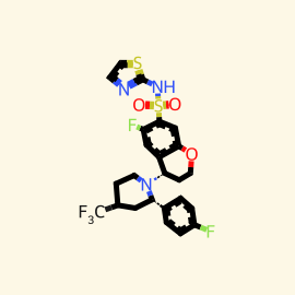 O=S(=O)(Nc1nccs1)c1cc2c(cc1F)[C@@H](N1CCC(C(F)(F)F)C[C@H]1c1ccc(F)cc1)CCO2